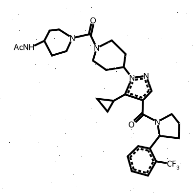 CC(=O)NC1CCN(C(=O)N2CCC(n3ncc(C(=O)N4CCCC4c4ccccc4C(F)(F)F)c3C3CC3)CC2)CC1